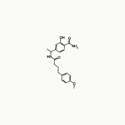 COc1ccc(CCCC(=O)NC(C)c2ccc(C(N)=O)c(O)c2)cc1